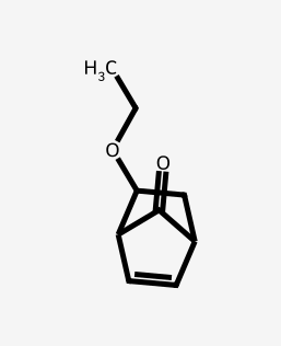 CCOC1CC2C=CC1C2=O